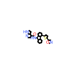 O=C(NC1c2ccccc2-c2c(-c3ccc(-c4cnco4)s3)cccc21)c1ccnc2[nH]ccc12